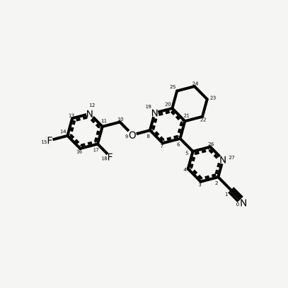 N#Cc1ccc(-c2cc(OCc3ncc(F)cc3F)nc3c2CCCC3)cn1